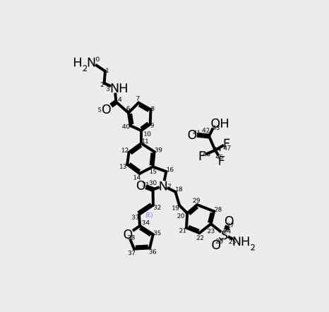 NCCNC(=O)c1cccc(-c2cccc(CN(CCc3ccc(S(N)(=O)=O)cc3)C(=O)/C=C/c3ccco3)c2)c1.O=C(O)C(F)(F)F